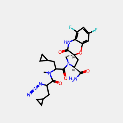 CN(C(=O)C(CC1CC1)N=[N+]=[N-])C(CC1CC1)C(=O)N1C[C@@]2(C[C@H]1C(N)=O)Oc1cc(F)cc(F)c1NC2=O